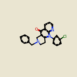 O=c1c2c(n(-c3cccc(Cl)c3)c3ncccc13)CCN(Cc1ccccc1)C2